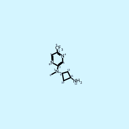 CN(c1cnc(C(F)(F)F)cn1)[C@H]1C[C@H](N)C1